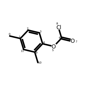 Cc1ccc(OC(=O)Cl)c(C)c1